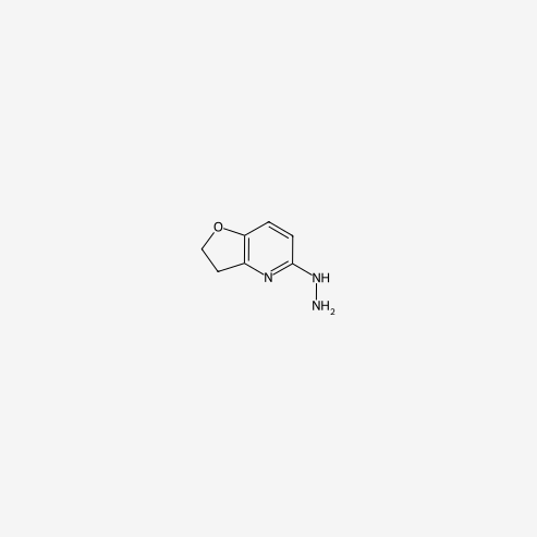 NNc1ccc2c(n1)CCO2